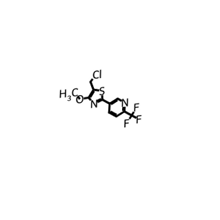 COc1nc(-c2ccc(C(F)(F)F)nc2)sc1CCl